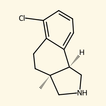 C[C@]12CCc3c(Cl)cccc3[C@H]1CNC2